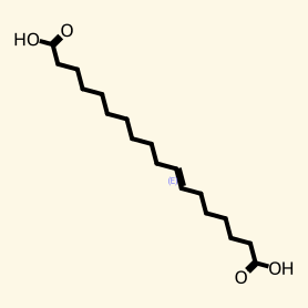 O=C(O)CCCCC/C=C/CCCCCCCCCC(=O)O